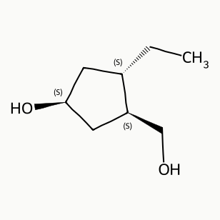 CC[C@H]1C[C@H](O)C[C@@H]1CO